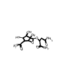 NC(=O)CC(O[C@H]1OC2C(C(N)=O)[C@@H](O)C(O)C21O)C(N)=O